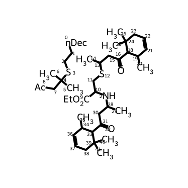 CCCCCCCCCCCCSC(C)(C)CC(C)=O.CCOC(=O)C(CSC(C)CC(=O)C1C(C)C=CCC1(C)C)NC(C)CC(=O)C1C(C)C=CCC1(C)C